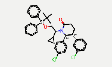 CC(C)(C)[Si](OCC(C1CC1)N1C(=O)CC[C@H](c2cccc(Cl)c2)[C@H]1c1ccc(Cl)cc1)(c1ccccc1)c1ccccc1